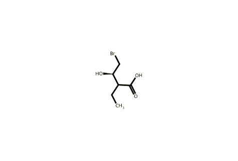 CCC(C(=O)O)[C@@H](O)CBr